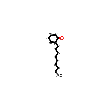 CC(=O)CCCCCCCCC1CCCCC1=O